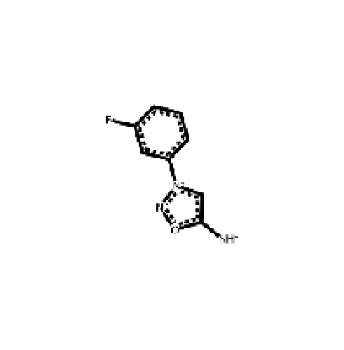 [NH-]c1c[n+](-c2cccc(F)c2)no1